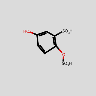 O=S(=O)(O)Oc1ccc(O)cc1S(=O)(=O)O